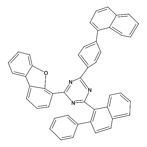 c1ccc(-c2ccc3ccccc3c2-c2nc(-c3ccc(-c4cccc5ccccc45)cc3)nc(-c3cccc4c3oc3ccccc34)n2)cc1